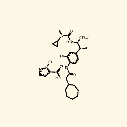 CCn1nccc1C(=O)N[C@H](C(=O)Nc1ccc([C@H](C)[C@@H](NC(=O)N(C)C2CC2)C(=O)O)cc1F)C1CCCCCC1